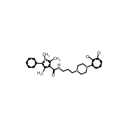 Cc1c(C(=O)NCCCN2CCN(c3cccc(Cl)c3Cl)CC2)c(C)n(C)c1-c1ccccc1